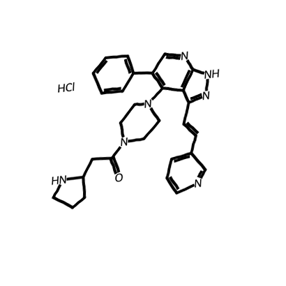 Cl.O=C(CC1CCCN1)N1CCN(c2c(-c3ccccc3)cnc3[nH]nc(C=Cc4cccnc4)c23)CC1